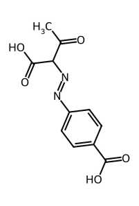 CC(=O)C(N=Nc1ccc(C(=O)O)cc1)C(=O)O